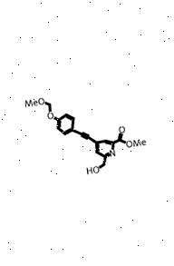 COCOc1ccc(C#Cc2cc(CO)nc(C(=O)OC)c2)cc1